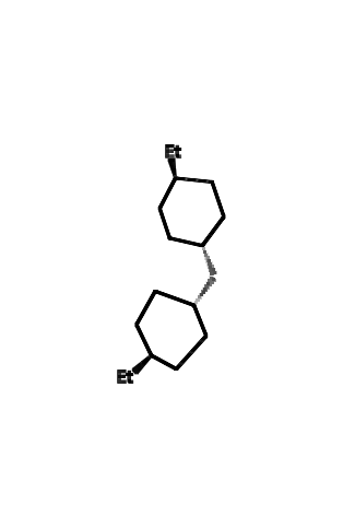 CC[C@H]1CC[C@H](C[C@H]2CC[C@H](CC)CC2)CC1